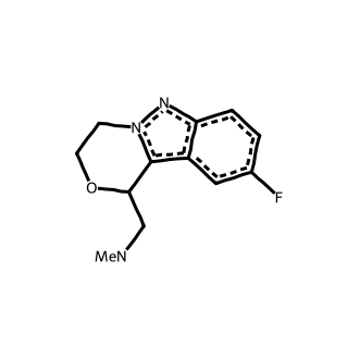 CNCC1OCCn2nc3ccc(F)cc3c21